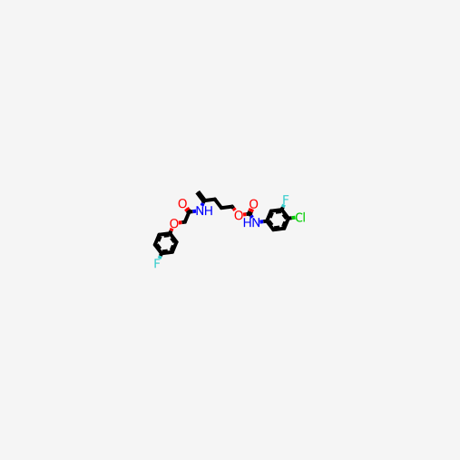 C=C(CCCOC(=O)Nc1ccc(Cl)c(F)c1)NC(=O)COc1ccc(F)cc1